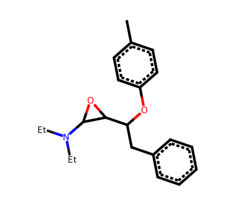 CCN(CC)C1OC1C(Cc1ccccc1)Oc1ccc(C)cc1